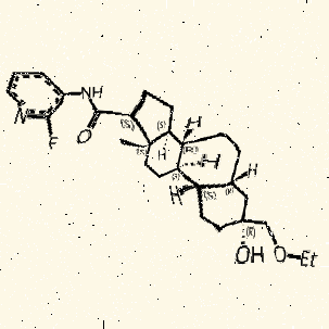 CCOC[C@@]1(O)CC[C@H]2[C@H](CC[C@@H]3[C@@H]2CC[C@]2(C)[C@@H](C(=O)Nc4cccnc4F)CC[C@@H]32)C1